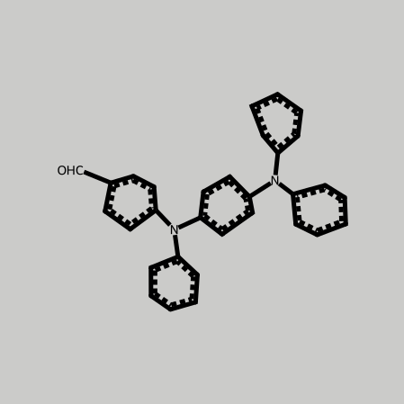 O=Cc1ccc(N(c2ccccc2)c2ccc(N(c3ccccc3)c3ccccc3)cc2)cc1